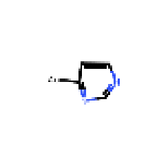 CC(=O)c1ccncn1